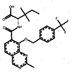 CCC(C)(C)[C@H](NC(=O)c1ccc2cnc(C)nc2c1OCc1ccc(C(F)(F)F)cc1)C(=O)O